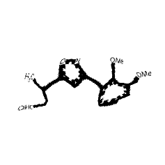 COc1cccc(-c2cc(C(C)CC=O)on2)c1OC